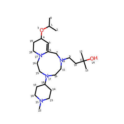 CC(C)OC1C=C2CN(CCC(C)(C)O)CCN(C3CCN(C)CC3)CCN2CC1